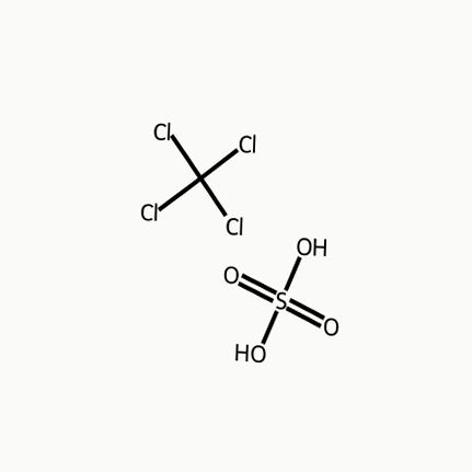 ClC(Cl)(Cl)Cl.O=S(=O)(O)O